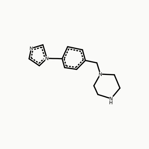 c1cn(-c2ccc(CN3CCNCC3)cc2)cn1